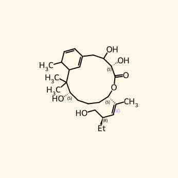 CC[C@H](/C=C(/C)[C@@H]1CCC[C@H](O)C(C)(C)C2C=C(C=CC2C)CC(O)[C@H](O)C(=O)O1)CO